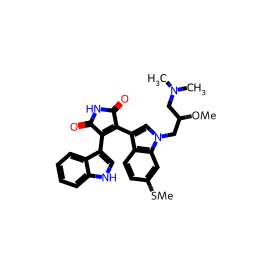 COC(CN(C)C)Cn1cc(C2=C(c3c[nH]c4ccccc34)C(=O)NC2=O)c2ccc(SC)cc21